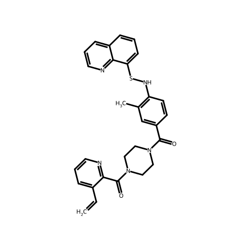 C=Cc1cccnc1C(=O)N1CCN(C(=O)c2ccc(NSc3cccc4cccnc34)c(C)c2)CC1